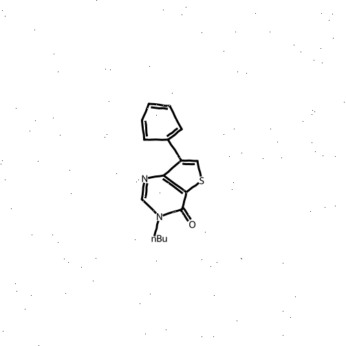 CCCCn1cnc2c(-c3ccccc3)csc2c1=O